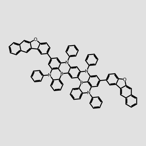 c1ccc(N2c3ccccc3B3c4cc5c(cc4N(c4ccccc4)c4cc(-c6ccc7oc8cc9ccccc9cc8c7c6)cc2c43)N(c2ccccc2)c2cc(-c3ccc4oc6cc7ccccc7cc6c4c3)cc3c2B5c2ccccc2N3c2ccccc2)cc1